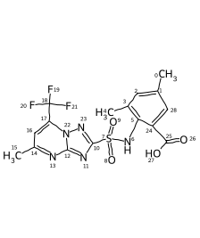 Cc1cc(C)c(NS(=O)(=O)c2nc3nc(C)cc(C(F)(F)F)n3n2)c(C(=O)O)c1